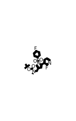 CN(Cc1cc(-c2cccnc2F)n(S(=O)(=O)c2ccc(F)cc2)c1)C(=O)OC(C)(C)C